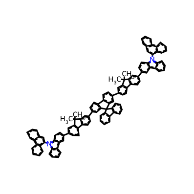 CC1(C)c2cc(-c3ccc4c(c3)C3(c5ccccc5-c5ccccc53)c3cc(-c5ccc6c(c5)C(C)(C)c5cc(-c7ccc8c(c7)c7ccccc7n8-c7cc8ccccc8c8ccccc78)ccc5-6)ccc3-4)ccc2-c2ccc(-c3ccc4c(c3)c3ccccc3n4-c3cc4ccccc4c4ccccc34)cc21